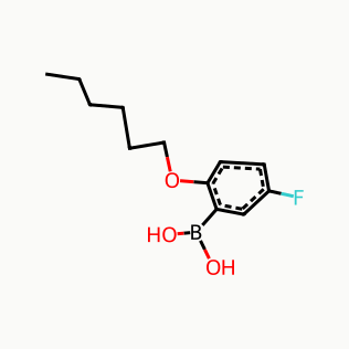 CCCCCCOc1ccc(F)cc1B(O)O